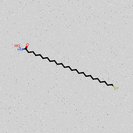 O=C(CCCCCCCCCCCCCCCCCCCCCCCCS)NO